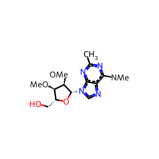 CNc1nc(C)nc2c1ncn2[C@@H]1O[C@H](CO)[C@@H](OC)[C@H]1OC